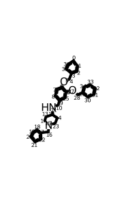 c1ccc(COc2ccc(CNC3CCN(Cc4ccccc4)CC3)cc2OCc2ccccc2)cc1